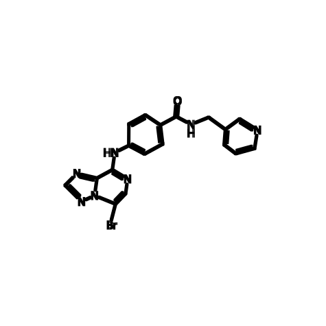 O=C(NCc1cccnc1)c1ccc(Nc2ncc(Br)n3ncnc23)cc1